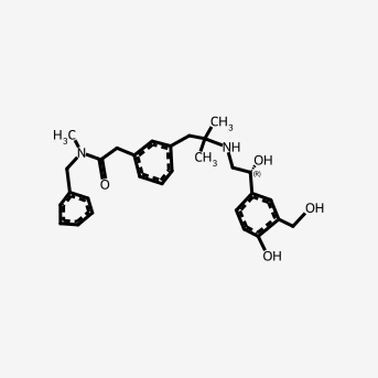 CN(Cc1ccccc1)C(=O)Cc1cccc(CC(C)(C)NC[C@H](O)c2ccc(O)c(CO)c2)c1